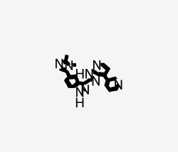 Cc1ncc(-c2ccc3[nH]nc(-c4nc5c(-c6cccnc6)ccnc5[nH]4)c3c2)n1C